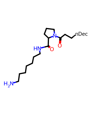 CCCCCCCCCCCCC(=O)N1CCCC1C(=O)NCCCCCCCN